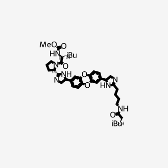 CC[C@H](C)CC(=O)NCCCCC1=NCC(c2ccc3c(c2)Oc2ccc(C4CN=C([C@@H]5CCCN5C(=O)[C@@H](NC(=O)OC)[C@@H](C)CC)N4)cc2O3)N1